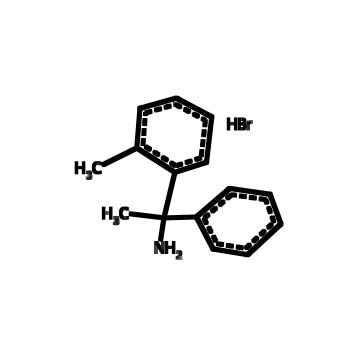 Br.Cc1ccccc1C(C)(N)c1ccccc1